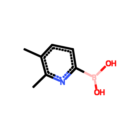 Cc1ccc(B(O)O)nc1C